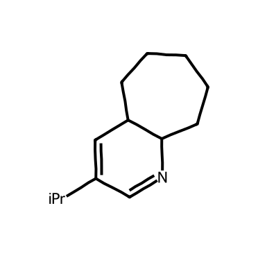 CC(C)C1=CC2CCCCCC2N=C1